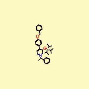 CC(C)[Si](OC1CN([C@H](C)c2ccccc2)CC=C1c1ccc(OCc2ccccc2)cc1)(C(C)C)C(C)C